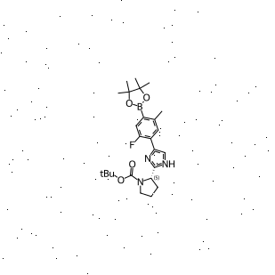 Cc1cc(-c2c[nH]c([C@@H]3CCCN3C(=O)OC(C)(C)C)n2)c(F)cc1B1OC(C)(C)C(C)(C)O1